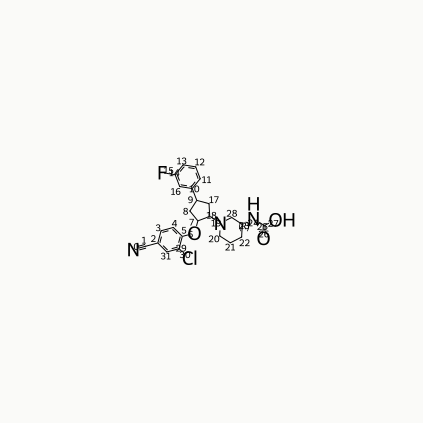 N#Cc1ccc(OC2CC(c3cccc(F)c3)CC2N2CCC[C@@H](NC(=O)O)C2)c(Cl)c1